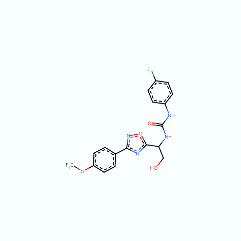 O=C(Nc1ccc(Cl)cc1)NC(CO)c1nc(-c2ccc(OC(F)(F)F)cc2)no1